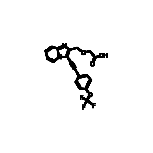 O=C(O)COCc1nc2ccccn2c1C#Cc1ccc(OC(F)(F)F)cc1